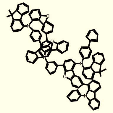 CC1(C)c2ccccc2-c2c(N(c3ccc(-c4cccc5c4oc4ccccc45)cc3)c3cccc4oc5ccc(-c6ccc7c(c6)c6ccccc6n7-c6cccc(-c7ccc(N(c8ccc(-c9ccccc9)cc8)c8cccc9c8-c8ccccc8C9(C)C)c8c7oc7ccc(-c9cccc%10c%11ccccc%11n(-c%11ccccc%11)c9%10)cc78)c6)cc5c34)cccc21